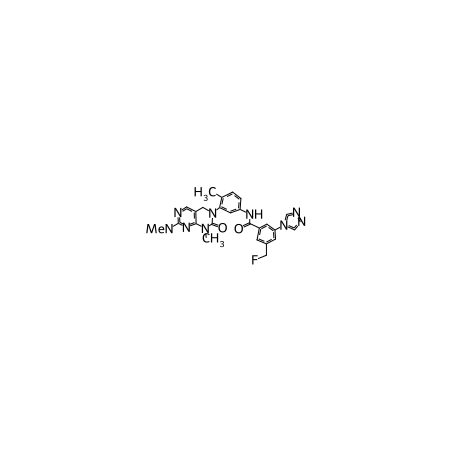 CNc1ncc2c(n1)N(C)C(=O)N(c1cc(NC(=O)c3cc(CF)cc(-n4cnnc4)c3)ccc1C)C2